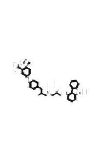 CC(CNCC(O)COc1cccc2[nH]c3ccccc3c12)Cc1ccc(Oc2ccc(S(C)(=O)=O)c(C(F)(F)F)c2)cc1